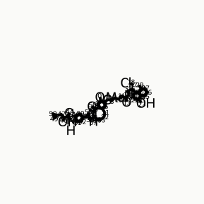 COc1cc2c(cc1OCCCCC(=O)N1C[C@@H](CCl)c3c1cc(O)c1cccc(C)c31)CC/C=C\[C@@H]1CC(c3ccc(NC(=O)C(O)CC4CC4)cc3)=CN1C2=O